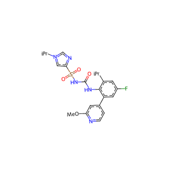 COc1cc(-c2cc(F)cc(C(C)C)c2NC(=O)NS(=O)(=O)c2cn(C(C)C)cn2)ccn1